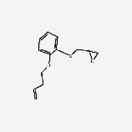 C=CCCOc1ccccc1OCC1CO1